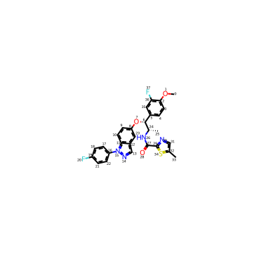 COc1ccc([C@@H](Oc2ccc3c(cnn3-c3ccc(F)cc3)c2)[C@H](C)NC(=O)c2ncc(C)s2)cc1F